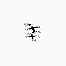 CC(C)C(C)(C)[SiH2][C@@H](S)C(C)(C)O[SiH3]